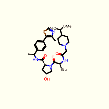 COC(OC)C1CCN(CC(=O)N[C@H](C(=O)N2C[C@H](O)C[C@H]2C(=O)N[C@@H](C)c2ccc(-c3scnc3C)cc2)C(C)(C)C)CC1